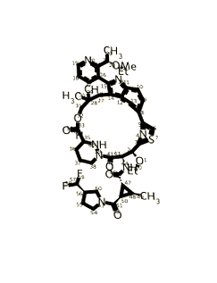 CCO[C@@H]1c2nc(cs2)-c2ccc3c(c2)c(c(-c2cccnc2[C@H](C)OC)n3CC)CC(C)(C)COC(=O)[C@@H]2CCCN(N2)C(=O)[C@H]1NC(=O)[C@@H]1[C@@H](C)[C@H]1C(=O)N1CC[C@@H](C(F)F)C1